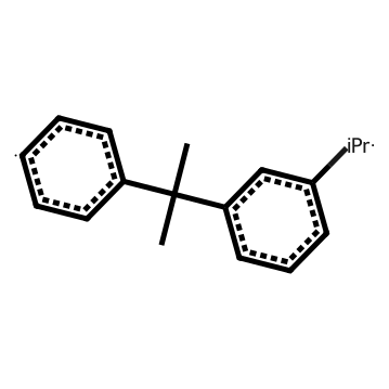 C[C](C)c1cccc(C(C)(C)c2cc[c]cc2)c1